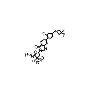 CC(CCn1cnc2cc(-c3ccc(CN4CC(F)(F)C4)cc3F)ccc2c1=O)(C(=O)NO)S(C)(=O)=O